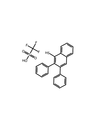 O=S(=O)(O)C(F)(F)F.Sc1c(-c2ccccc2)c(-c2ccccc2)cc2ccccc12